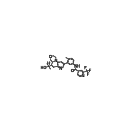 Cc1ccc(NC(=O)c2ccnc(C(F)(F)F)c2)cc1-c1cnc2c(c1)N1CCOC[C@@H]1C(C(C)(C)O)C2